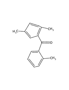 Cc1ccc(C)c(C(=O)c2ccccc2C)c1